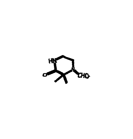 CC1(C)C(=O)NCCN1[C]=O